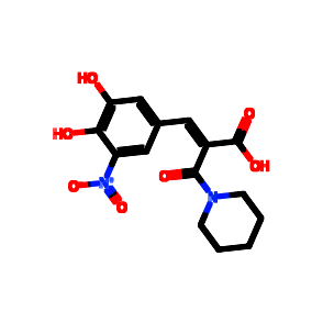 O=C(O)/C(=C/c1cc(O)c(O)c([N+](=O)[O-])c1)C(=O)N1CCCCC1